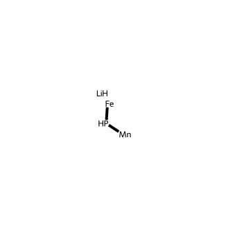 [LiH].[Mn][PH][Fe]